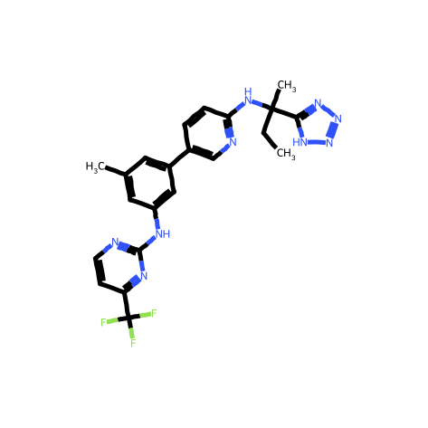 CCC(C)(Nc1ccc(-c2cc(C)cc(Nc3nccc(C(F)(F)F)n3)c2)cn1)c1nnn[nH]1